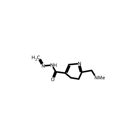 C=NNC(=O)C1=CN=C(CNC)CC1